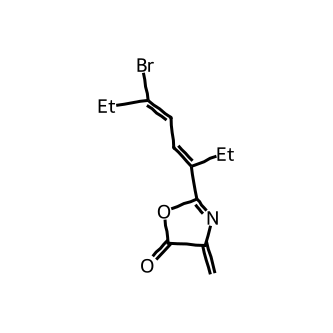 C=C1N=C(/C(=C/C=C(/Br)CC)CC)OC1=O